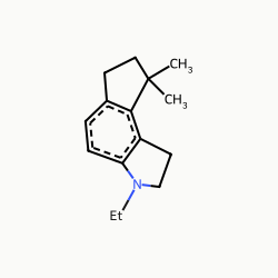 CCN1CCc2c1ccc1c2C(C)(C)CC1